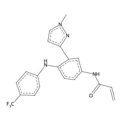 C=CC(=O)Nc1ccc(Nc2ccc(C(F)(F)F)cc2)c(-c2ccn(C)n2)c1